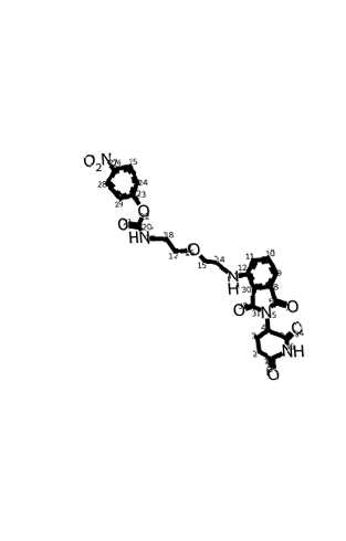 O=C1CCC(N2C(=O)c3cccc(NCCOCCNC(=O)Oc4ccc([N+](=O)[O-])cc4)c3C2=O)C(=O)N1